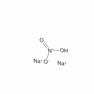 O=[N+]([O-])O.[Na+].[Na+]